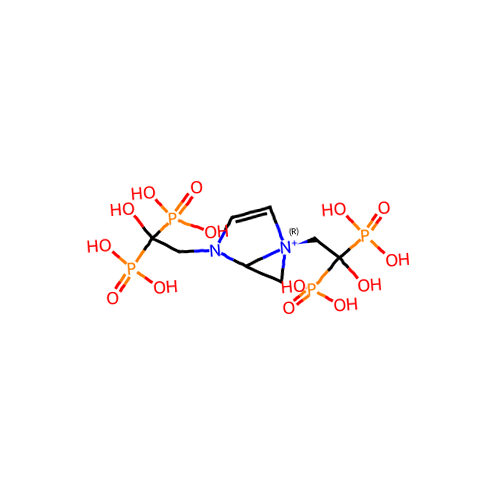 O=P(O)(O)C(O)(CN1C=C[N@+]2(CC(O)(P(=O)(O)O)P(=O)(O)O)CC12)P(=O)(O)O